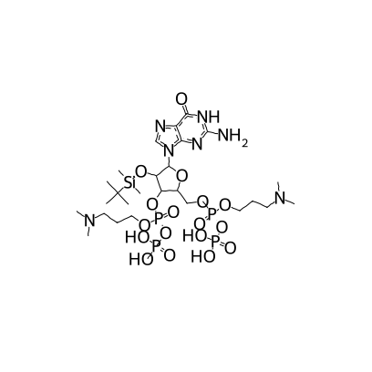 CN(C)CCCOP(=O)(OCC1OC(n2cnc3c(=O)[nH]c(N)nc32)C(O[Si](C)(C)C(C)(C)C)C1OP(=O)(OCCCN(C)C)OP(=O)(O)O)OP(=O)(O)O